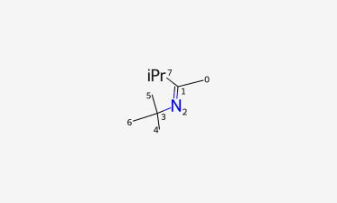 C/C(=N/C(C)(C)C)C(C)C